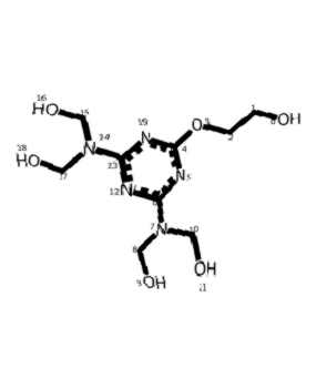 OCCOc1nc(N(CO)CO)nc(N(CO)CO)n1